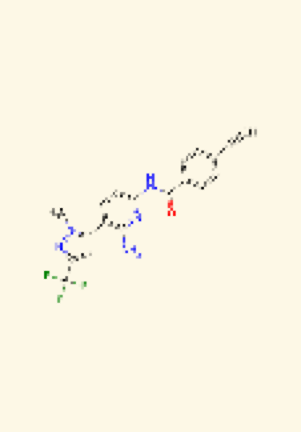 C#Cc1ccc(C(=O)Nc2ccc(-c3cc(C(F)(F)F)nn3C)c(N)n2)cc1